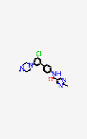 Cc1ncc(C(=O)Nc2ccc(-c3cc(Cl)cc(N4CCN(C)CC4)c3)cc2)cn1